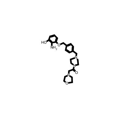 Nc1c(O)cccc1OCc1ccc(CN2CCN(C(=O)CN3CCOCC3)CC2)cc1